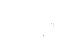 C1CCC2CCNN=C2C1